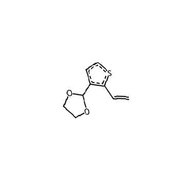 C=Cc1sccc1C1OCCO1